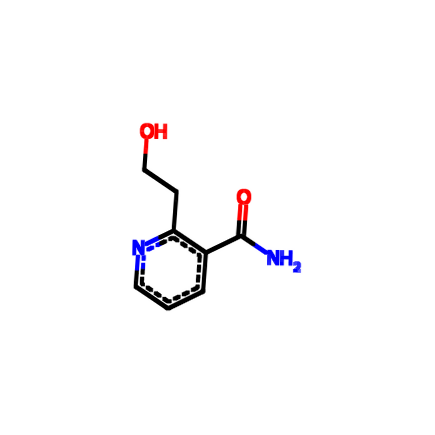 NC(=O)c1cccnc1CCO